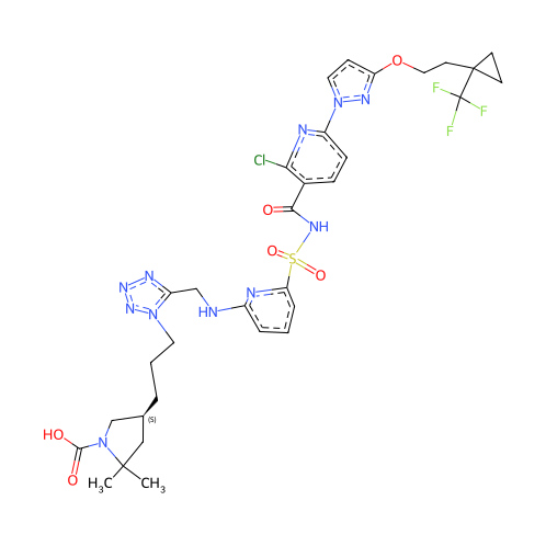 CC1(C)C[C@H](CCCn2nnnc2CNc2cccc(S(=O)(=O)NC(=O)c3ccc(-n4ccc(OCCC5(C(F)(F)F)CC5)n4)nc3Cl)n2)CN1C(=O)O